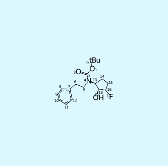 CC(C)(C)OC(=O)N(CCc1ccccc1)[C@H]1CCC(F)[C@H]1O